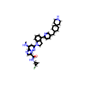 CNc1cc(N2CCc3c(-c4ccc(CC5CCC6(CCNCC6)CC5)cn4)cccc32)nn2c(C(=O)N[C@@H]3C[C@@H]3F)cnc12